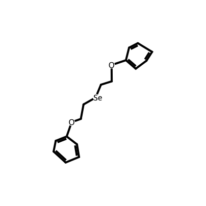 c1ccc(OCC[Se]CCOc2ccccc2)cc1